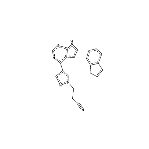 C1=Cc2ccccc2C1.N#CCCn1cc(-c2ncnc3[nH]ccc23)cn1